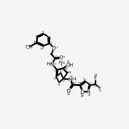 O=C(COc1cccc(Cl)c1)NC1=C2CC(NC(=O)c3cc(C(F)F)no3)(C2)C[C@@H]1O